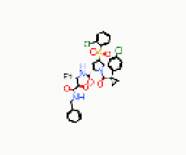 CC[C@H](NC(=O)[C@@H]1C[C@@H](S(=O)(=O)c2ccccc2Cl)CN1C(=O)C1(c2ccc(Cl)cc2)CC1)C(=O)C(=O)NCc1ccccc1